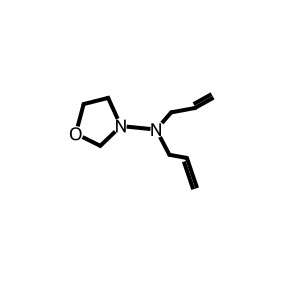 C=CCN(CC=C)N1CCOC1